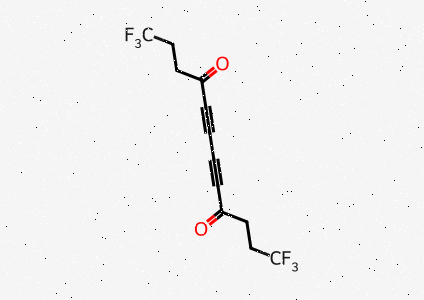 O=C(C#CC#CC(=O)CCC(F)(F)F)CCC(F)(F)F